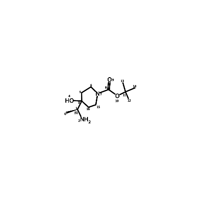 C[C@H](N)C1(O)CCN(C(=O)OC(C)(C)C)CC1